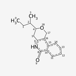 CCC(C)C1Cc2[nH]c(=O)c3ccccc3c2CO1